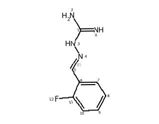 N=C(N)N/N=C/c1ccccc1F